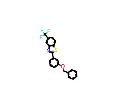 FC(F)(F)c1ccc2sc(-c3cccc(OCc4ccccc4)c3)nc2c1